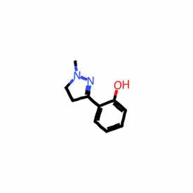 CN1CCC(c2ccccc2O)=N1